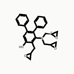 Oc1cc(-c2ccccc2)c(-c2ccccc2)c(N(CC2CO2)C[C@H]2CO2)c1CC1CO1